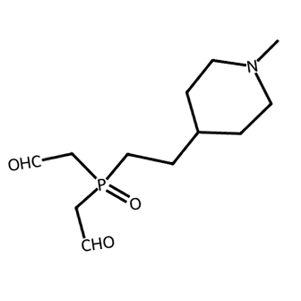 CN1CCC(CCP(=O)(CC=O)CC=O)CC1